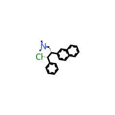 CN(C)C[C@H](c1ccc2ccccc2c1)[C@@H](Cl)c1ccccc1